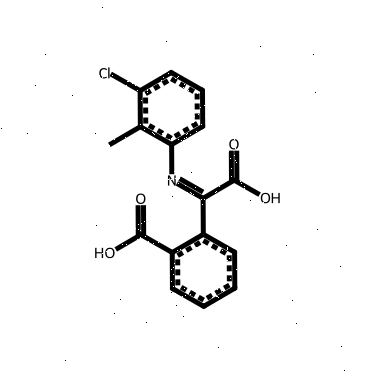 Cc1c(Cl)cccc1N=C(C(=O)O)c1ccccc1C(=O)O